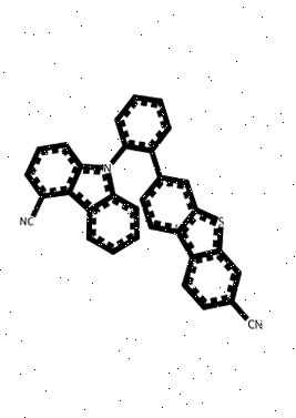 N#Cc1ccc2c(c1)sc1cc(-c3ccccc3-n3c4ccccc4c4c(C#N)cccc43)ccc12